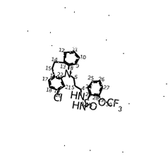 N=S(=O)(NCCCN1c2ccccc2CCc2ccc(Cl)cc21)c1ccccc1OC(F)(F)F